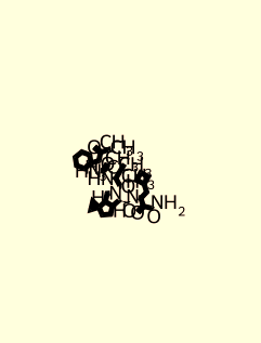 CC(C)(C)C(=O)CC1(NC(=O)N[C@H](C(=O)N2C[C@H]3[C@H](CCC34CC4)[C@H]2C(=O)NC(CC2CCC2)C(=O)C(N)=O)C(C)(C)C)CCCCC1